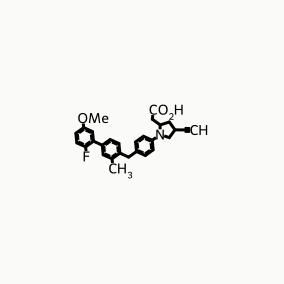 C#CC1CC(CC(=O)O)N(c2ccc(Cc3ccc(-c4cc(OC)ccc4F)cc3C)cc2)C1